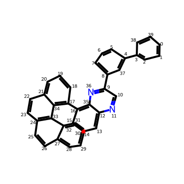 c1ccc(-c2cccc(-c3cnc4cccc(-c5cccc6ccc7ccc8ccccc8c7c56)c4n3)c2)cc1